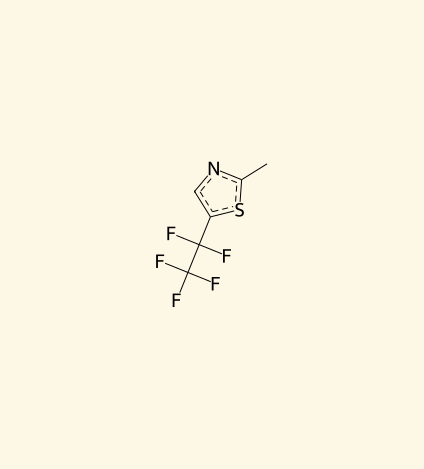 Cc1ncc(C(F)(F)C(F)(F)F)s1